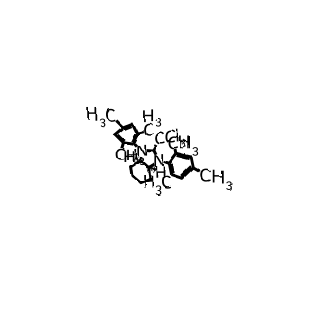 Cc1cc(C)c(N2C(C(Cl)(Cl)Cl)N(c3c(C)cc(C)cc3C)[C@@H]3CCCC[C@H]32)c(C)c1